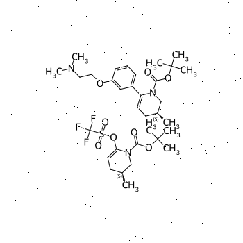 C[C@H]1CC=C(OS(=O)(=O)C(F)(F)F)N(C(=O)OC(C)(C)C)C1.C[C@H]1CC=C(c2cccc(OCCN(C)C)c2)N(C(=O)OC(C)(C)C)C1